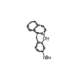 CCCCc1ccc(Cc2nccc3ccccc23)c(O)c1